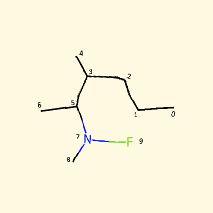 CCCC(C)C(C)N(C)F